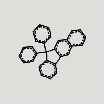 c1ccc(C2(c3ccccc3)c3ccccc3-c3cc4ccccc4cc32)cc1